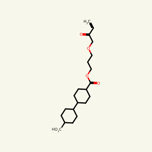 C=CC(=O)COCCCOC(=O)C1CCC(C2CCC(C(=O)O)CC2)CC1